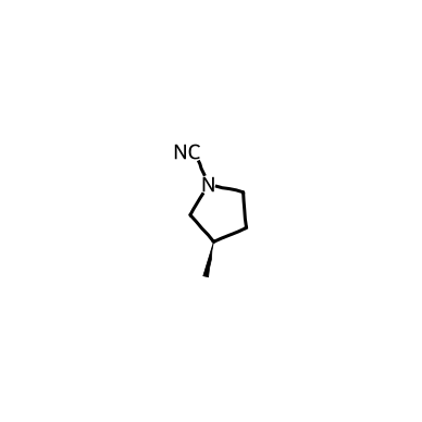 C[C@@H]1CCN(C#N)C1